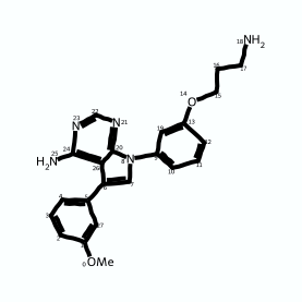 COc1cccc(-c2cn(-c3cccc(OCCCN)c3)c3ncnc(N)c23)c1